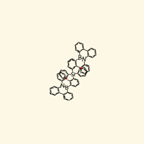 c1ccc([Si](c2ccccc2)(c2cccc3c2-c2ccccc2N2B3c3ccccc3-c3ccccc32)c2cccc3c2-c2ccccc2N2B3c3ccccc3-c3ccccc32)cc1